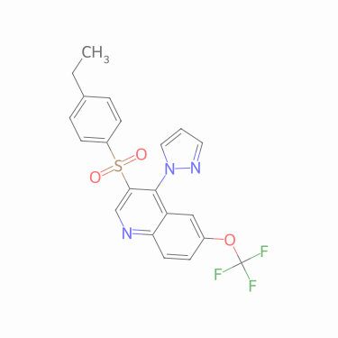 CCc1ccc(S(=O)(=O)c2cnc3ccc(OC(F)(F)F)cc3c2-n2cccn2)cc1